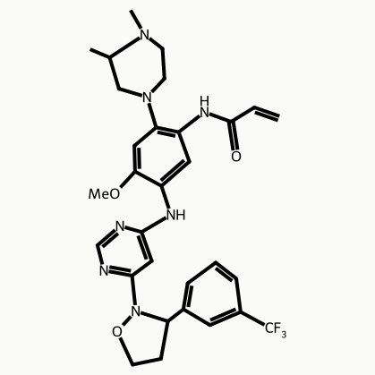 C=CC(=O)Nc1cc(Nc2cc(N3OCCC3c3cccc(C(F)(F)F)c3)ncn2)c(OC)cc1N1CCN(C)C(C)C1